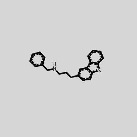 c1ccc(CNCCCc2ccc3sc4ccccc4c3c2)cc1